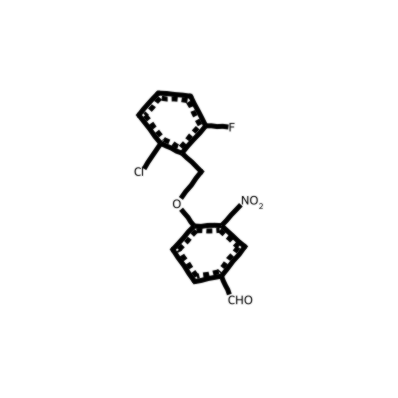 O=Cc1ccc(OCc2c(F)cccc2Cl)c([N+](=O)[O-])c1